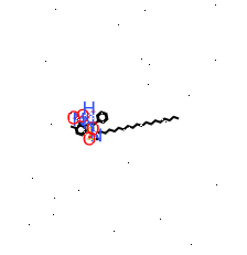 CCCCCCCCCCCCCCCCCCN(C)S(=O)(=O)c1ccc(C)c([N+](=O)[O-])c1NCc1ccccc1